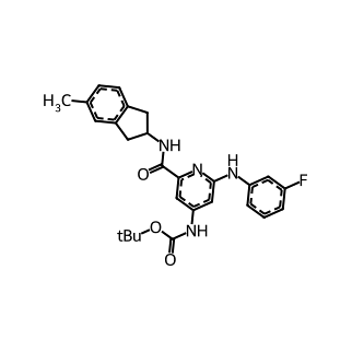 Cc1ccc2c(c1)CC(NC(=O)c1cc(NC(=O)OC(C)(C)C)cc(Nc3cccc(F)c3)n1)C2